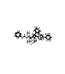 COc1c(C(=O)NCCCc2ccccc2)sc2c1c(=O)n(CC(=O)c1ccccc1)c1ccccc21